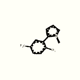 Cn1[c]ccc1-c1cc(C(F)(F)F)ccc1C(F)(F)F